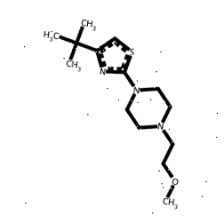 COCCN1CCN(c2nc(C(C)(C)C)cs2)CC1